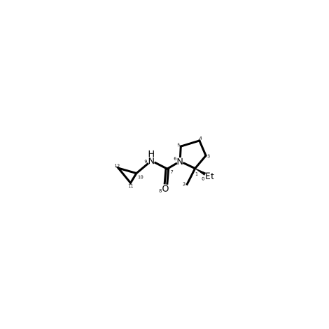 CC[C@]1(C)CCCN1C(=O)NC1CC1